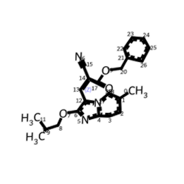 Cc1ccc2nc(OCC(C)C)c(/C=C(/C#N)C(=O)OCc3ccccc3)n2c1